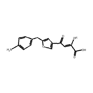 Nc1ccc(Cc2cc(C(=O)C=C(O)C(=O)O)co2)cc1